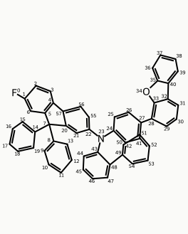 Fc1ccc2c(c1)C(c1ccccc1)(c1ccccc1)c1cc(N(c3ccc(-c4cccc5c4oc4ccccc45)cc3)c3ccccc3-c3ccccc3)ccc1-2